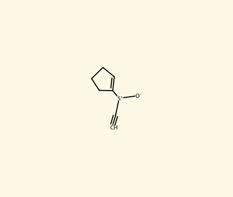 C#C[S+]([O-])C1=CCCC1